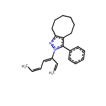 C=C/C(=C\C=C/C)n1nc2c(c1-c1ccccc1)CCCCCC2